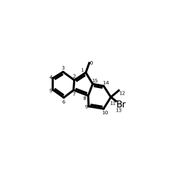 CC1=c2ccccc2=C2C=CC(C)(Br)C=C12